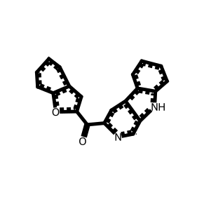 O=C(c1cc2c([c]n1)[nH]c1ccccc12)c1cc2ccccc2o1